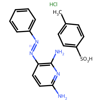 Cc1ccc(S(=O)(=O)O)cc1.Cl.Nc1ccc(/N=N/c2ccccc2)c(N)n1